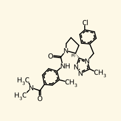 Cc1cc(C(=O)N(C)C)ccc1NC(=O)N1CCC[C@@H]1c1nnc(C)n1Cc1ccc(Cl)cc1